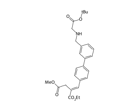 CCOC(=O)C(=Cc1ccc(-c2cccc(CNCC(=O)OC(C)(C)C)c2)cc1)CC(=O)OC